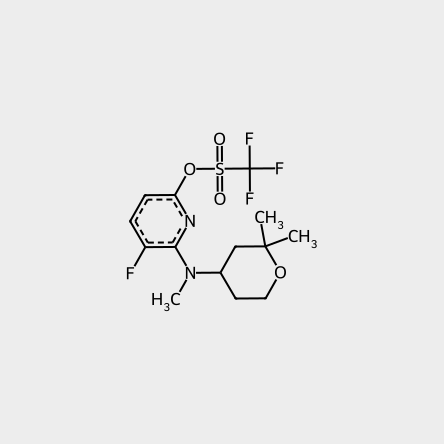 CN(c1nc(OS(=O)(=O)C(F)(F)F)ccc1F)C1CCOC(C)(C)C1